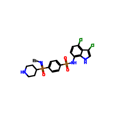 CCN=S(=O)(c1ccc(S(=O)(=O)Nc2ccc(Cl)c3c(Cl)c[nH]c23)cc1)C1CCNCC1